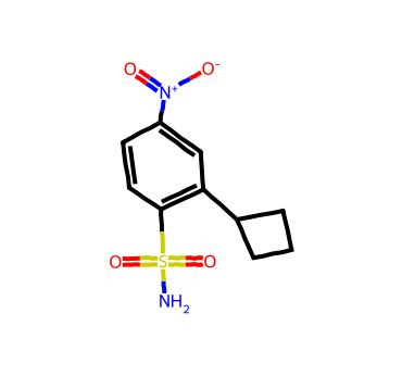 NS(=O)(=O)c1ccc([N+](=O)[O-])cc1C1CCC1